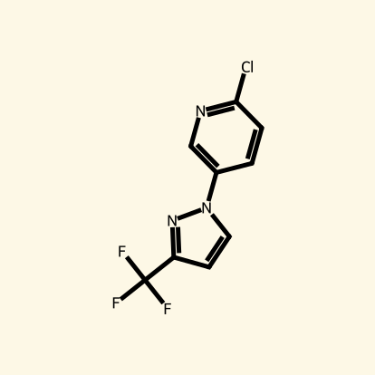 FC(F)(F)c1ccn(-c2ccc(Cl)nc2)n1